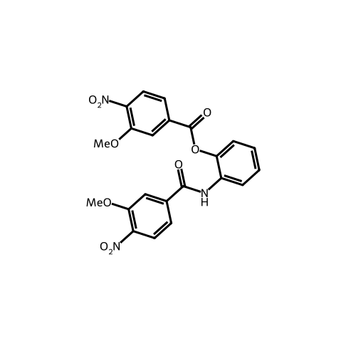 COc1cc(C(=O)Nc2ccccc2OC(=O)c2ccc([N+](=O)[O-])c(OC)c2)ccc1[N+](=O)[O-]